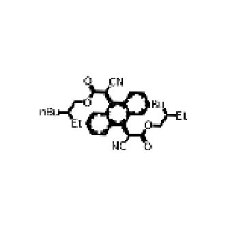 CCCCC(CC)COC(=O)C(C#N)=c1c2ccccc2c(=C(C#N)C(=O)OCC(CC)CCCC)c2ccccc12